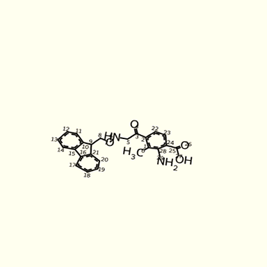 Cc1c(C(=O)CNOCC2c3ccccc3-c3ccccc32)ccc(C(=O)O)c1N